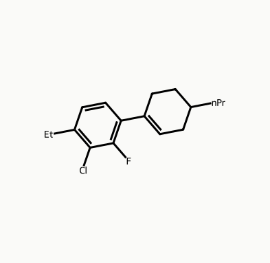 CCCC1CC=C(c2ccc(CC)c(Cl)c2F)CC1